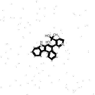 CC(C)(O)c1ccncc1-c1cc2[nH]c3ccccc3c2c2ccccc12